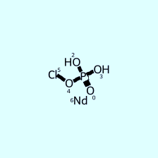 O=P(O)(O)OCl.[Nd]